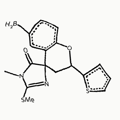 Bc1ccc2c(c1)C1(CC(c3cccs3)O2)N=C(SC)N(C)C1=O